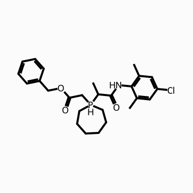 Cc1cc(Cl)cc(C)c1NC(=O)C(C)[PH]1(CC(=O)OCc2ccccc2)CCCCCC1